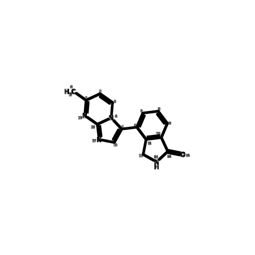 Cc1ccn2c(-c3cccc4c3CNC4=O)cnc2n1